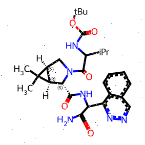 CC(C)C(NC(=O)OC(C)(C)C)C(=O)N1C[C@H]2[C@@H]([C@H]1C(=O)NC(C(N)=O)c1nncc3ccccc13)C2(C)C